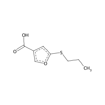 CCCSc1cc(C(=O)O)co1